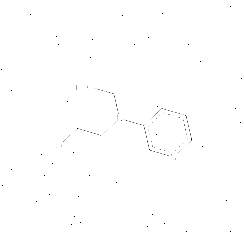 CCN(CCO)c1cc[c]nc1